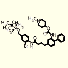 CN1CCC(OC(=O)Nc2cc(CCCC(=O)Nc3ccc(CO[Si](C)(C)C(C)(C)C)cc3Br)ccc2-c2ccccc2)CC1